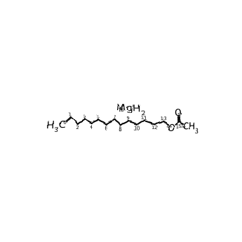 CCCCCCCCCCCCCCOC(C)=O.[MgH2]